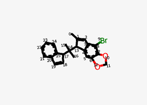 CC1=Cc2c(cc3c(c2Br)OCO3)C1C(C)(C)C1C=Cc2ccccc21